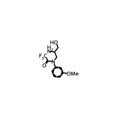 COc1cccc(N(CC(N)CO)C(=O)C(F)(F)F)c1